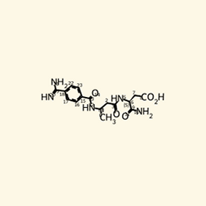 C[C@H](CC(=O)N[C@@H](CC(=O)O)C(N)=O)NC(=O)c1ccc(C(=N)N)cc1